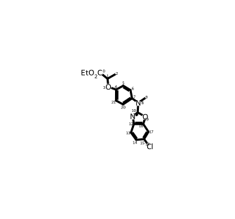 CCOC(=O)C(C)Oc1ccc(N(C)c2nc3ccc(Cl)cc3o2)cc1